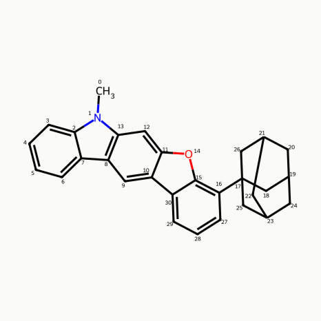 Cn1c2ccccc2c2cc3c(cc21)oc1c(C24CC5CC(CC(C5)C2)C4)cccc13